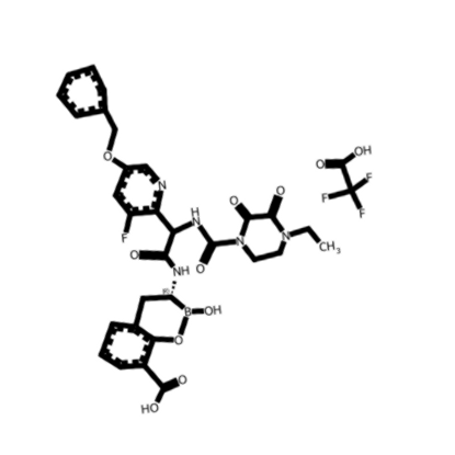 CCN1CCN(C(=O)NC(C(=O)N[C@H]2Cc3cccc(C(=O)O)c3OB2O)c2ncc(OCc3ccccc3)cc2F)C(=O)C1=O.O=C(O)C(F)(F)F